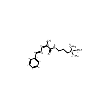 CO[Si](CCCNC(=O)C(C#N)=CC=Cc1ccccc1)(OC)OC